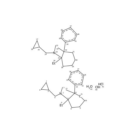 CCC1(N(C)CC2CC2)CCCCC1(C)c1ccccc1.CCC1(N(C)CC2CC2)CCCCC1(C)c1ccccc1.Cl.Cl.O